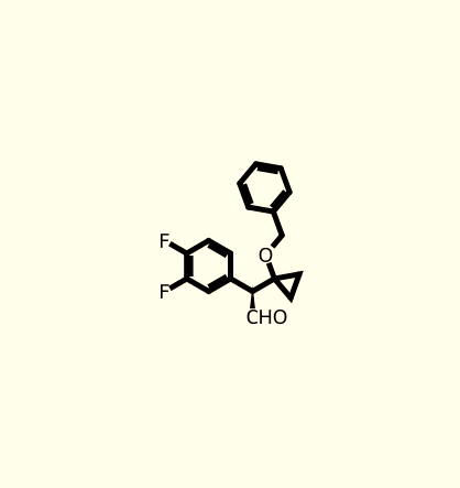 O=C[C@@H](c1ccc(F)c(F)c1)C1(OCc2ccccc2)CC1